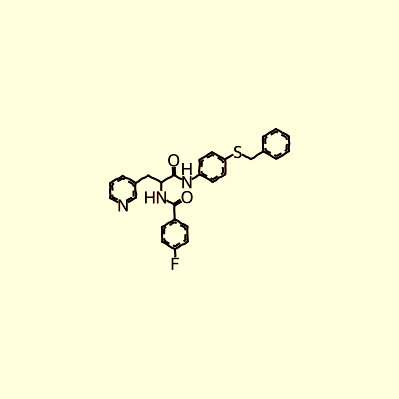 O=C(NC(Cc1cccnc1)C(=O)Nc1ccc(SCc2ccccc2)cc1)c1ccc(F)cc1